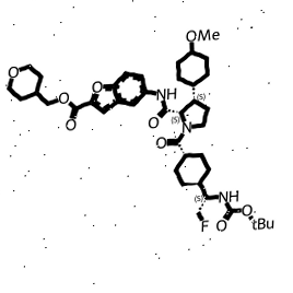 COC1CCC([C@@H]2CCN(C(=O)[C@H]3CC[C@H]([C@@H](CF)NC(=O)OC(C)(C)C)CC3)[C@@H]2C(=O)Nc2ccc3oc(C(=O)OCC4CCOCC4)cc3c2)CC1